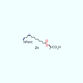 CCCCC/C=C\C/C=C\CCCCCCCC(=O)OC=C(C)C(=O)O.[Zn]